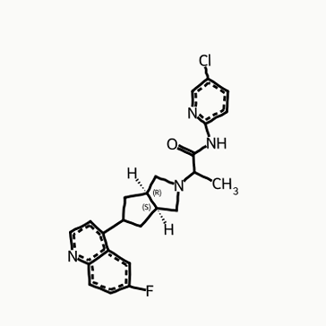 CC(C(=O)Nc1ccc(Cl)cn1)N1C[C@H]2CC(c3ccnc4ccc(F)cc34)C[C@H]2C1